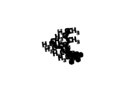 CC(=O)O[C@@H]1[C@@H](OC[C@H](COCC[C@@H](C)CCC[C@@H](C)CCC[C@H](C)CCCC(C)C)OCC[C@@H](C)CCC[C@@H](C)CCC[C@H](C)CCCC(C)C)O[C@H](COCc2ccccc2)[C@@H](OCc2ccccc2)[C@@H]1OCc1ccccc1